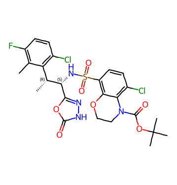 Cc1c(F)ccc(Cl)c1[C@@H](C)[C@H](NS(=O)(=O)c1ccc(Cl)c2c1OCCN2C(=O)OC(C)(C)C)c1n[nH]c(=O)o1